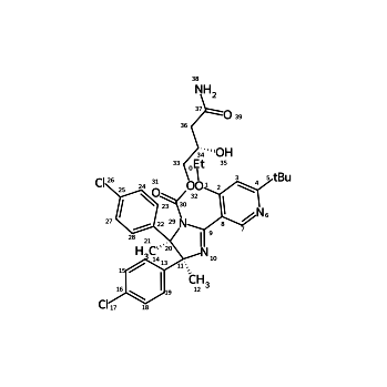 CCOc1cc(C(C)(C)C)ncc1C1=N[C@@](C)(c2ccc(Cl)cc2)[C@@](C)(c2ccc(Cl)cc2)N1C(=O)OC[C@@H](O)CC(N)=O